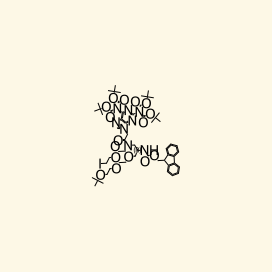 CC(C)(C)OCCOCCOC[C@@H](CN(CC(=O)OCCI)C(=O)Cn1cnc2c(N(C(=O)OC(C)(C)C)C(=O)OC(C)(C)C)nc(N(C(=O)OC(C)(C)C)C(=O)OC(C)(C)C)nc21)NC(=O)OCC1c2ccccc2-c2ccccc21